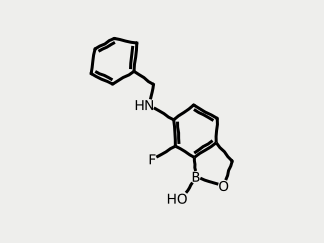 OB1OCc2ccc(NCc3ccccc3)c(F)c21